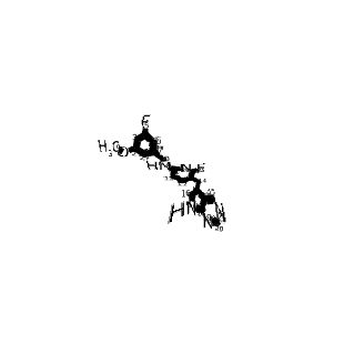 COc1cc(F)cc(CNc2ccc(Cc3c[nH]c4ncncc34)c(F)n2)c1